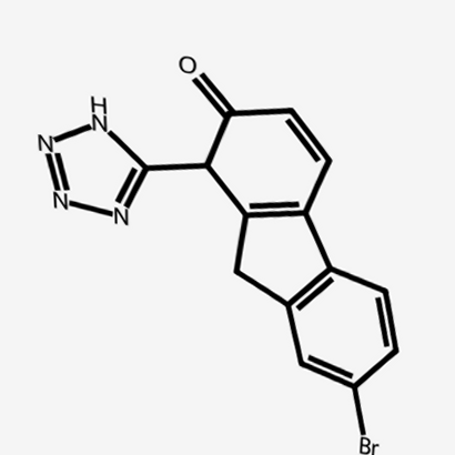 O=C1C=CC2=C(Cc3cc(Br)ccc32)C1c1nnn[nH]1